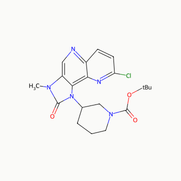 Cn1c(=O)n(C2CCCN(C(=O)OC(C)(C)C)C2)c2c3nc(Cl)ccc3ncc21